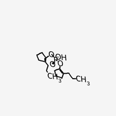 CCCC1=C(OP(=O)(O)OC2=C(CCC)CCC2)CCC1